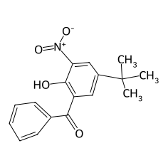 CC(C)(C)c1cc(C(=O)c2ccccc2)c(O)c([N+](=O)[O-])c1